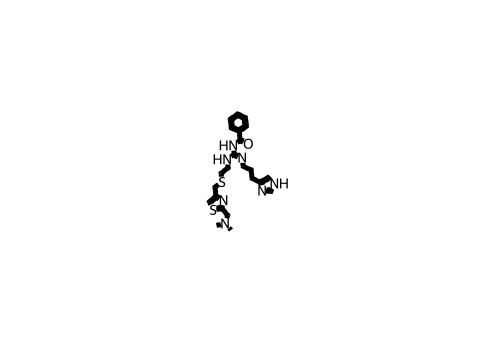 CN(C)Cc1nc(CSCCNC(=NCCCc2c[nH]cn2)NC(=O)c2ccccc2)cs1